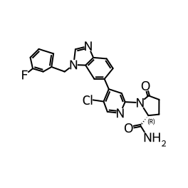 NC(=O)[C@H]1CCC(=O)N1c1cc(-c2ccc3ncn(Cc4cccc(F)c4)c3c2)c(Cl)cn1